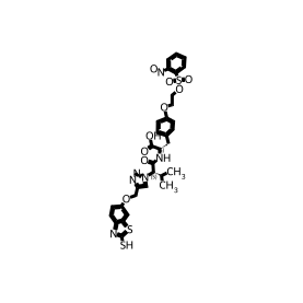 CC(C)[C@@H](C(=O)N[C@@H](Cc1ccc(OCCOS(=O)(=O)c2ccccc2N=O)cc1)C(=O)O)n1cc(COc2ccc3nc(S)sc3c2)nn1